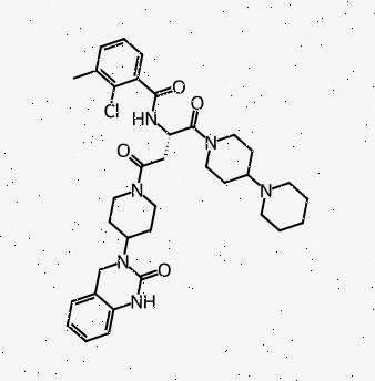 Cc1cccc(C(=O)N[C@@H](CC(=O)N2CCC(N3Cc4ccccc4NC3=O)CC2)C(=O)N2CCC(N3CCCCC3)CC2)c1Cl